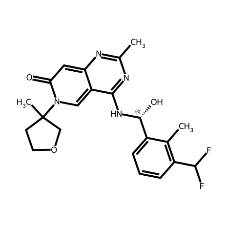 Cc1nc(N[C@H](O)c2cccc(C(F)F)c2C)c2cn(C3(C)CCOC3)c(=O)cc2n1